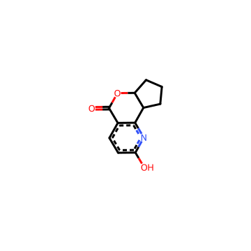 O=C1OC2CCCC2c2nc(O)ccc21